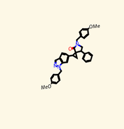 COc1ccc(CN2CC(c3ccccc3)C3(CC3c3ccc4cnn(Cc5ccc(OC)cc5)c4c3)C2=O)cc1